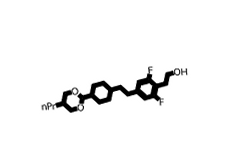 CCCC1COC(C2CCC(CCc3cc(F)c(CCO)c(F)c3)CC2)OC1